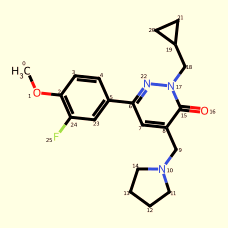 COc1ccc(-c2cc(CN3CCCC3)c(=O)n(CC3CC3)n2)cc1F